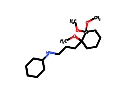 COC1(CCCNC2CCCCC2)CCCC[Si]1(OC)OC